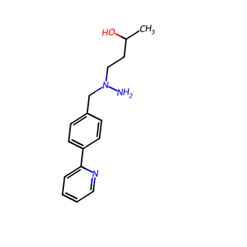 CC(O)CCN(N)Cc1ccc(-c2ccccn2)cc1